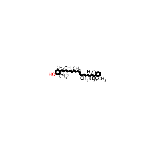 CC1=CC=CC(C)(C)C1/C=C/C(C)=C/C=C/C(C)=C\C=C/C=C(C)/C=C/C=C(C)/C=C/C1=C(C)CC(O)CC1(C)C